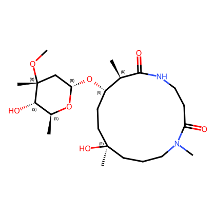 CO[C@]1(C)C[C@H](O[C@H]2CC[C@](C)(O)CCCN(C)C(=O)CCNC(=O)[C@@H]2C)O[C@@H](C)[C@@H]1O